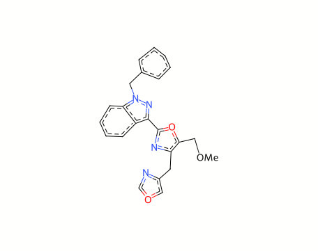 COCc1oc(-c2nn(Cc3ccccc3)c3ccccc23)nc1Cc1cocn1